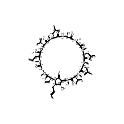 C/C=C/C[C@@H]1[C@@H](O)[C@H]2C(=O)N1[C@@H](CC)C(=O)N(C)CC(=O)N(C)[C@@H]([C@@H](C)CC)C(=O)N[C@@H](C(C)C)C(=O)N(C)[C@@H](CC(C)C)C(=O)N[C@@H](C)C(=O)N[C@H](C)C(=O)N(C)[C@@H](CC(C)C)C(=O)N(C)[C@@H](CC(C)C)C(=O)N(C)[C@@H](C(C)C)C(=O)N2C